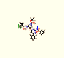 Cc1cccc(S(=O)(=O)Nc2nc(O[C@@H]3CN(C(=O)OC(C)(C)C)C[C@H]3N(C=O)CCC3(C(F)(F)F)CC3)cc(-c3c(C)cccc3C)n2)c1